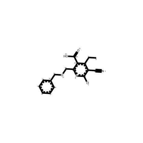 CCc1c(C#N)c(Cl)nc(COCc2ccccc2)c1C(=O)O